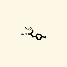 COCC(Cc1ccc(I)cc1)NC(C)=O